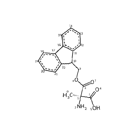 C[C@@](N)(C(=O)O)C(=O)OCC1c2ccccc2-c2ccccc21